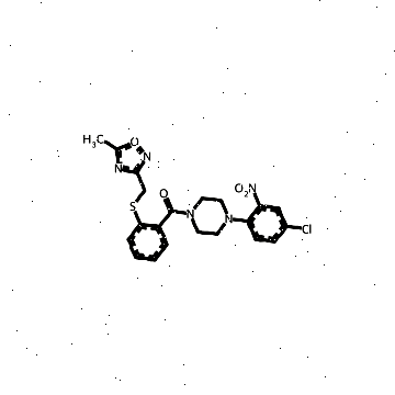 Cc1nc(CSc2ccccc2C(=O)N2CCN(c3ccc(Cl)cc3[N+](=O)[O-])CC2)no1